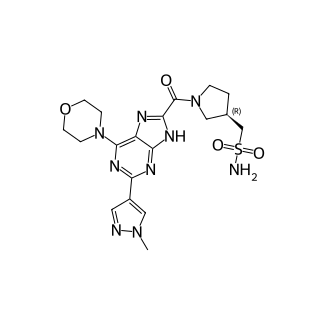 Cn1cc(-c2nc(N3CCOCC3)c3nc(C(=O)N4CC[C@@H](CS(N)(=O)=O)C4)[nH]c3n2)cn1